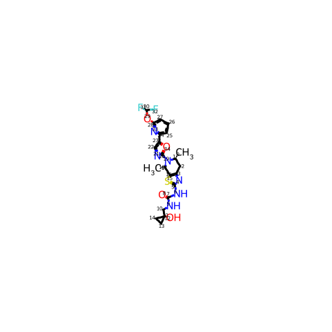 C[C@@H]1Cc2nc(NC(=O)NCC3(O)CC3)sc2[C@H](C)N1c1ncc(-c2cccc(OC(F)F)n2)o1